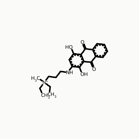 CC[N+](C)(CC)CCCNc1cc(O)c2c(c1O)C(=O)c1ccccc1C2=O